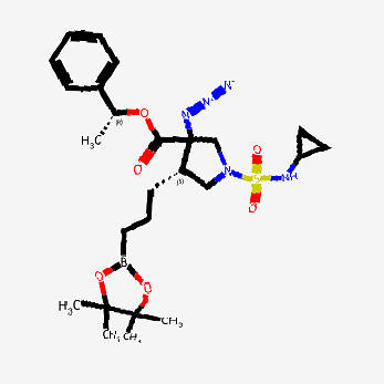 C[C@@H](OC(=O)C1(N=[N+]=[N-])CN(S(=O)(=O)NC2CC2)C[C@@H]1CCCB1OC(C)(C)C(C)(C)O1)c1ccccc1